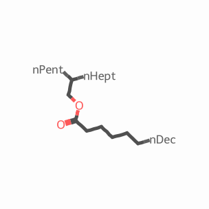 CCCCCCCCCCCCCCCC(=O)OCC(CCCCC)CCCCCCC